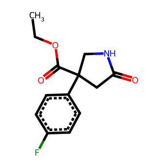 CCOC(=O)C1(c2ccc(F)cc2)CNC(=O)C1